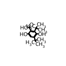 CC(C)(C)c1cc(O)c(C(=O)O)c(C(C)(C)C)c1O